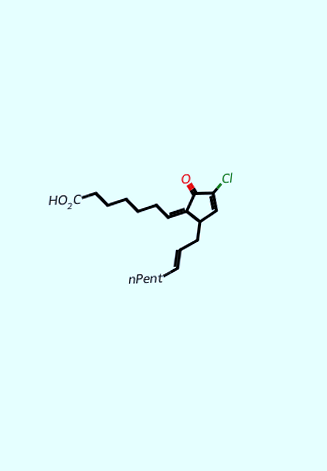 CCCCCC=CCC1C=C(Cl)C(=O)C1=CCCCCCC(=O)O